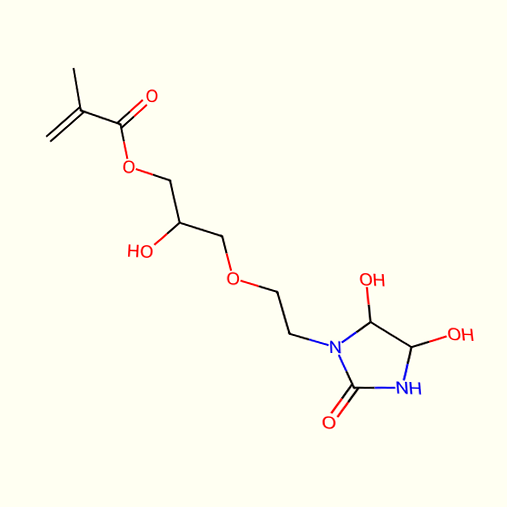 C=C(C)C(=O)OCC(O)COCCN1C(=O)NC(O)C1O